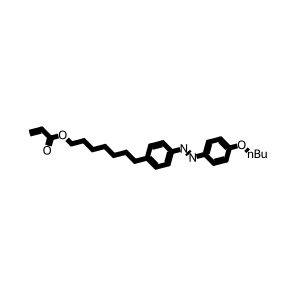 C=CC(=O)OCCCCCCCc1ccc(N=Nc2ccc(OCCCC)cc2)cc1